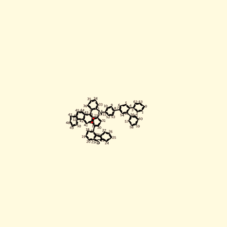 c1ccc(-c2ccc(-c3ccc(N(c4ccc(-c5cccc6sc7ccccc7c56)cc4)c4ccccc4-c4cccc5c4ccc4ccccc45)cc3)cc2-c2ccccc2)cc1